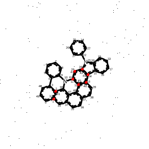 c1ccc(-c2ccccc2N(c2ccc3c4ccccc4n(-c4ccccc4)c3c2)c2cccc3ccc4ccc5ccccc5c4c23)cc1